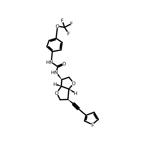 O=C(Nc1ccc(OC(F)(F)F)cc1)N[C@H]1CO[C@H]2[C@@H]1OC[C@@H]2C#Cc1ccsc1